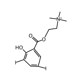 C[N+](C)(C)CCOC(=O)c1cc(I)cc(I)c1O